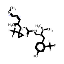 C=C(/C=C\C=N/C)[C@H](CC(=O)NC[C@H](Cc1ccc(O)cc1C(F)(F)F)N(C)C)C1(C(F)(F)F)CC1